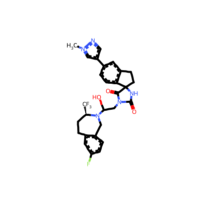 Cn1cc(-c2ccc3c(c2)CCC32NC(=O)N(CC(O)N3Cc4ccc(F)cc4CC[C@H]3C(F)(F)F)C2=O)cn1